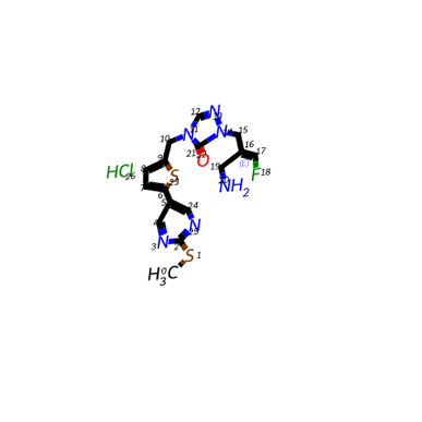 CSc1ncc(-c2ccc(Cn3cnn(C/C(=C/F)CN)c3=O)s2)cn1.Cl